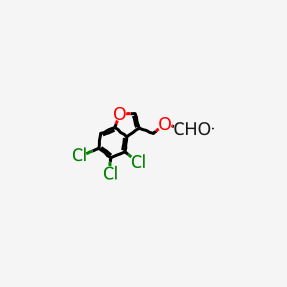 O=[C]OCc1coc2cc(Cl)c(Cl)c(Cl)c12